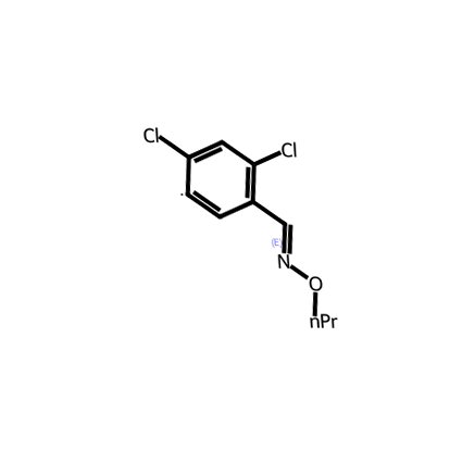 CCCO/N=C/c1c[c]c(Cl)cc1Cl